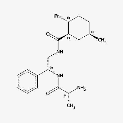 CC(C)[C@@H]1CC[C@@H](C)C[C@H]1C(=O)NC[C@H](NC(=O)[C@@H](C)N)c1ccccc1